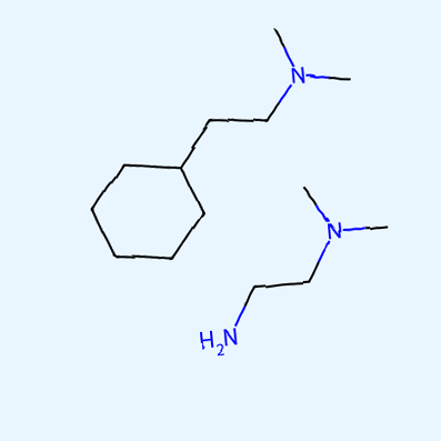 CN(C)CCC1CCCCC1.CN(C)CCN